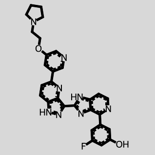 Oc1cc(F)cc(-c2nccc3[nH]c(-c4n[nH]c5ccc(-c6cncc(OCCN7CCCC7)c6)nc45)nc23)c1